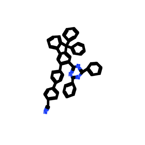 N#Cc1ccc(-c2ccc(-c3cc4c(cc3-c3nc(-c5ccccc5)nc(-c5ccccc5)n3)C(c3ccccc3)(c3ccccc3)c3ccccc3-4)cc2)cc1